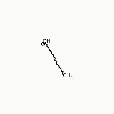 CCC=CCCCC=CCCCCCC=CCCCC(=O)O